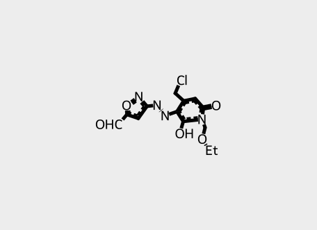 CCOCn1c(O)c(N=Nc2cc(C=O)on2)c(CCl)cc1=O